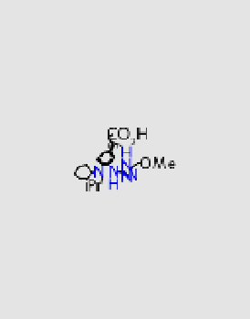 COCc1nnc(Nc2cc([C@H](C)CC(=O)O)ccc2N(CC(C)C)C2CCCCC2)[nH]1